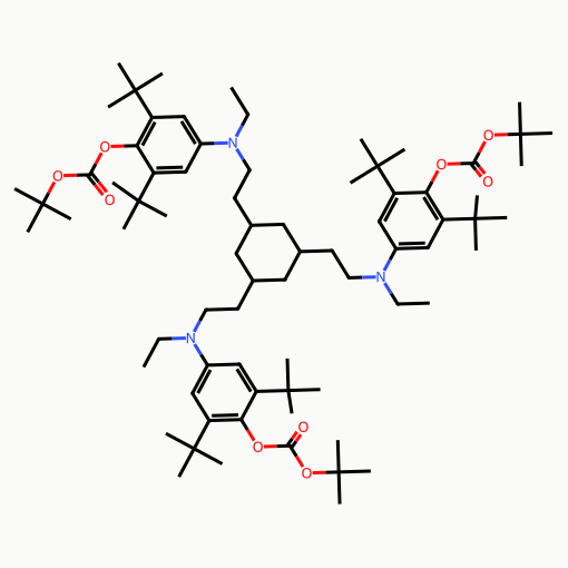 CCN(CCC1CC(CCN(CC)c2cc(C(C)(C)C)c(OC(=O)OC(C)(C)C)c(C(C)(C)C)c2)CC(CCN(CC)c2cc(C(C)(C)C)c(OC(=O)OC(C)(C)C)c(C(C)(C)C)c2)C1)c1cc(C(C)(C)C)c(OC(=O)OC(C)(C)C)c(C(C)(C)C)c1